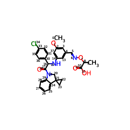 COc1cc(C=NOC(C)C(=O)O)cc(NC(C(=O)N2CC3(CC3)c3ccccc32)c2ccc(Cl)cc2)c1